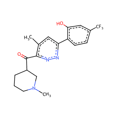 Cc1cc(-c2ccc(C(F)(F)F)cc2O)nnc1C(=O)C1CCCN(C)C1